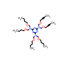 CC#CCOCN(COCC#CC)c1nc(N(COCCCC)COCCCC)nc(N(COCCCC)COCCCC)n1